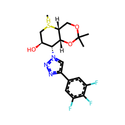 C[SH]1C[C@H](O)[C@@H](n2cc(-c3cc(F)c(F)c(F)c3)nn2)[C@H]2OC(C)(C)OC[C@H]21